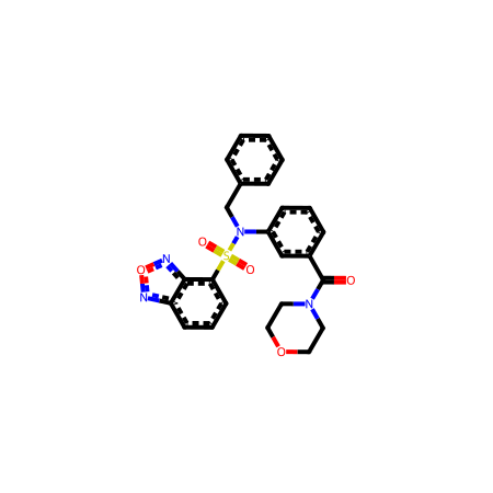 O=C(c1cccc(N(Cc2ccccc2)S(=O)(=O)c2cccc3nonc23)c1)N1CCOCC1